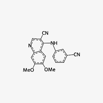 COc1cc2ncc(C#N)c(Nc3cccc(C#N)c3)c2cc1OC